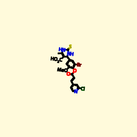 COc1cc(C2NC(=S)NC(C)=C2C(=O)O)cc(Br)c1OC(=O)C=Cc1ccnc(Cl)c1